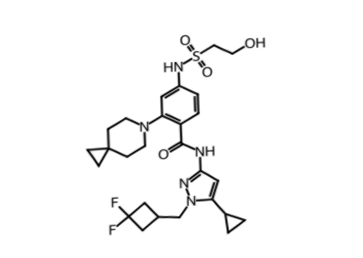 O=C(Nc1cc(C2CC2)n(CC2CC(F)(F)C2)n1)c1ccc(NS(=O)(=O)CCO)cc1N1CCC2(CC1)CC2